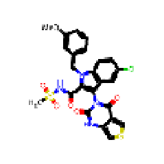 COc1cccc(Cn2c(C(=O)NS(C)(=O)=O)c(-n3c(=O)[nH]c4cscc4c3=O)c3cc(Cl)ccc32)c1